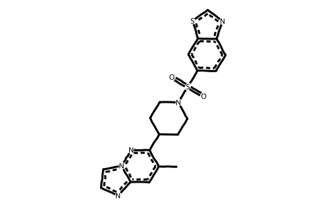 Cc1cc2nccn2nc1C1CCN(S(=O)(=O)c2ccc3ncsc3c2)CC1